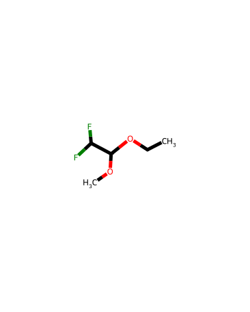 CCO[C](OC)C(F)F